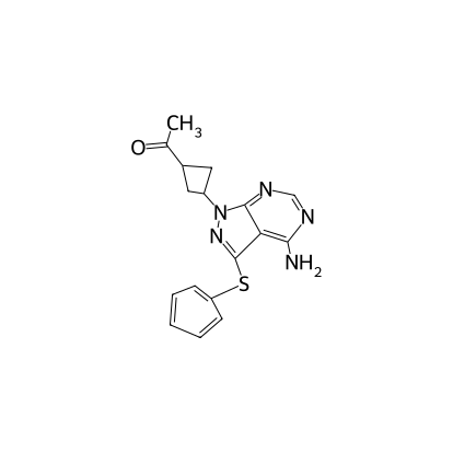 CC(=O)C1CC(n2nc(Sc3ccccc3)c3c(N)ncnc32)C1